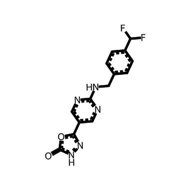 O=c1[nH]nc(-c2cnc(NCc3ccc(C(F)F)cc3)nc2)o1